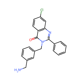 NCc1cccc(Cn2c(-c3ccccc3)nc3cc(Cl)ccc3c2=O)c1